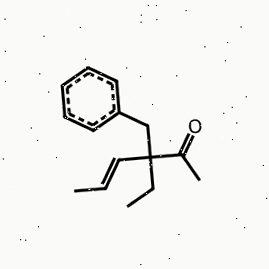 CC=CC(CC)(Cc1ccccc1)C(C)=O